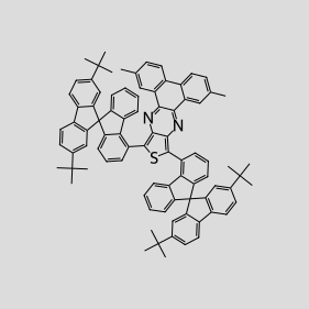 Cc1ccc2c3ccc(C)cc3c3nc4c(-c5cccc6c5-c5ccccc5C65c6cc(C(C)(C)C)ccc6-c6ccc(C(C)(C)C)cc65)sc(-c5cccc6c5-c5ccccc5C65c6cc(C(C)(C)C)ccc6-c6ccc(C(C)(C)C)cc65)c4nc3c2c1